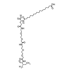 CC[C@H](C)[C@@H](C=O)NC(=O)COCCOCCNC(=O)COCCOCCNC(=O)CC[C@H](NC(=O)CCCCCCCCCCCCCCCCC(=O)O)C(=O)O